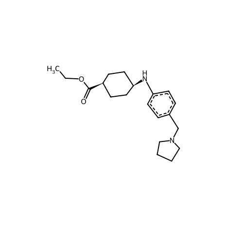 CCOC(=O)[C@H]1CC[C@@H](Nc2ccc(CN3CCCC3)cc2)CC1